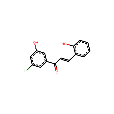 O=C(C=Cc1ccccc1O)c1cc(O)cc(Cl)c1